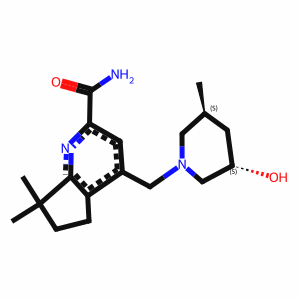 C[C@H]1C[C@H](O)CN(Cc2cc(C(N)=O)nc3c2CCC3(C)C)C1